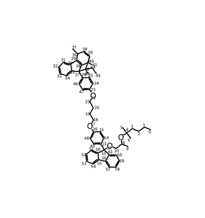 CCCCC(C)(C)OC(C)COC1(c2ccc(OCCCCOc3ccc(C45C6=C(c7ccccc74)C(C)C=C(C6C)C5(C)CC)cc3)cc2)c2ccccc2-c2ccccc21